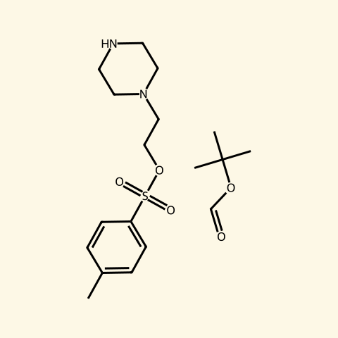 CC(C)(C)OC=O.Cc1ccc(S(=O)(=O)OCCN2CCNCC2)cc1